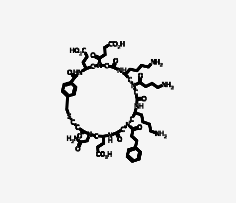 NCCCCC1CN(C(=O)CCc2ccccc2)CC(=O)NC(CCC(=O)O)CN(CC(N)=O)C(=O)CCSCc2ccc(cc2)C(=O)NC(CCC(=O)O)CN(C(=O)CCC(=O)O)CC(=O)NC(CCCCN)CN(C(=O)CCCN)CC(=O)N1